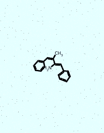 CC(=Cc1ccccc1)C(N)=Cc1ccccc1